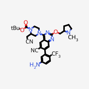 CN1CCCC1COc1nc(N2CCN(C(=O)OC(C)(C)C)C(CC#N)C2)c2cc(C#N)c(-c3cc(N)ccc3C(F)(F)F)cc2n1